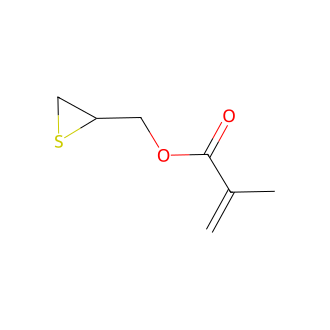 C=C(C)C(=O)OCC1CS1